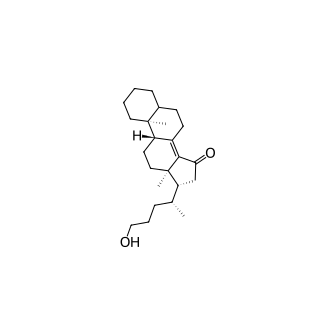 C[C@H](CCCO)[C@H]1CC(=O)C2=C3CCC4CCCC[C@]4(C)[C@H]3CC[C@@]21C